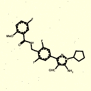 COc1ccc(F)cc1C(=O)NCc1c(F)cc(-c2nn(C3CCCC3)c(N)c2C=O)cc1F